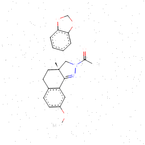 COc1ccc2c(c1)C1=NN(C(C)=O)[C@@H](c3ccc4c(c3)OCO4)[C@H]1CC2